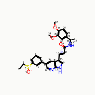 CC[S+]([O-])c1cccc(-c2cnc3[nH]cc(/C=C/C(=O)N[C@H](C)c4ccc(OC)c(OC)c4)c3c2)c1